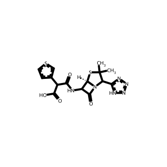 CC1(C)S[C@@H]2C(NC(=O)C(C(=O)O)c3ccsc3)C(=O)N2C1c1nnn[nH]1